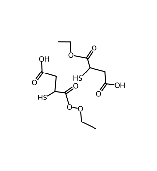 CCOC(=O)C(S)CC(=O)O.CCOOC(=O)C(S)CC(=O)O